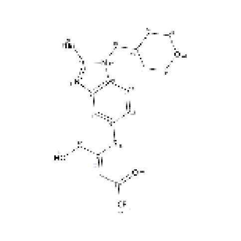 CC(C)(C)c1nc2cc(S/C(=C\C(=O)C(F)(F)F)CO)ccc2n1CC1CCOCC1